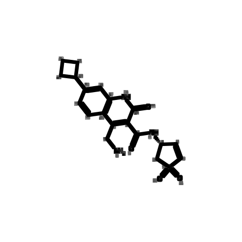 NCc1c(C(=O)N[C@@H]2C=CS(=O)(=O)C2)c(=O)[nH]c2cc(C3CCC3)ccc12